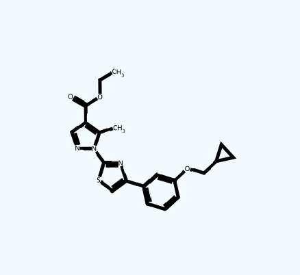 CCOC(=O)c1cnn(-c2nc(-c3cccc(OCC4CC4)c3)cs2)c1C